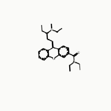 CCC(C/C=C1\c2ccccc2Oc2cc(C(=O)N(CC)CC)ccc21)N(C)CC